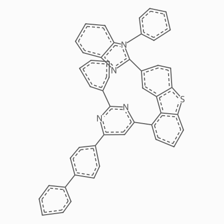 c1ccc(-c2ccc(-c3cc(-c4cccc5sc6ccc(-c7nc8ccccc8n7-c7ccccc7)cc6c45)nc(-c4ccccc4)n3)cc2)cc1